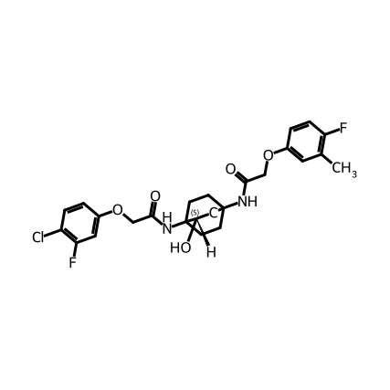 Cc1cc(OCC(=O)NC23CCC(NC(=O)COc4ccc(Cl)c(F)c4)(CC2)[C@@H](O)C3)ccc1F